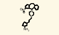 Nc1cccc(C=CCN2CCN(C3c4ccccc4CCc4ccc([N+](=O)[O-])cc43)CC2)c1